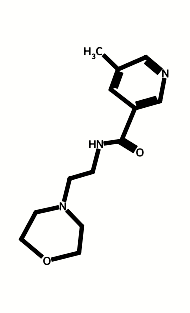 Cc1cncc(C(=O)NCCN2CCOCC2)c1